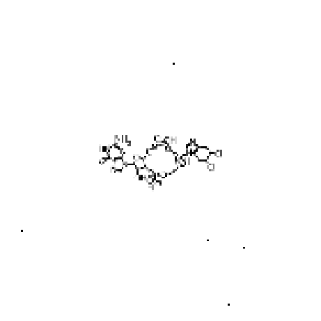 Nc1nc2c(ncn2C2OC3COP(=O)(O)OC4C(O)C(COP(=O)(O)OC3C2O)OC4n2cnc3cc(Cl)c(Cl)cc32)c(=O)[nH]1